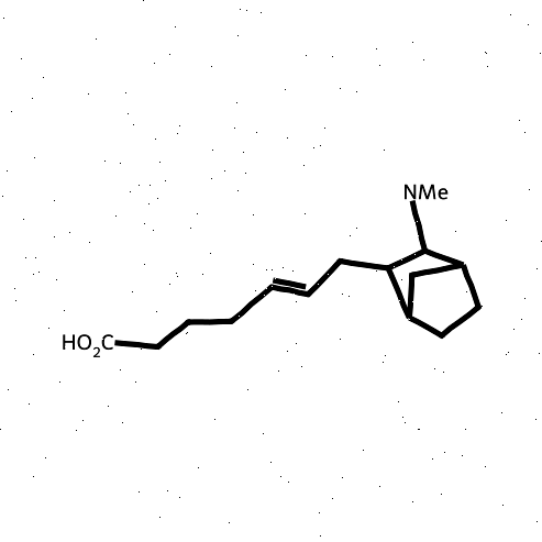 CNC1C2CCC(C2)C1CC=CCCCC(=O)O